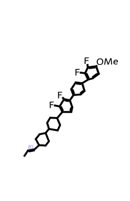 C/C=C/C1CCC(C2CCC(c3ccc(-c4ccc(-c5ccc(OC)c(F)c5F)cc4)c(F)c3F)CC2)CC1